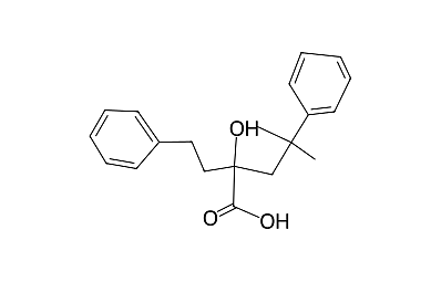 CC(C)(CC(O)(CCc1ccccc1)C(=O)O)c1ccccc1